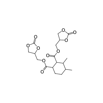 CC1CCC(C(=O)OCC2COC(=O)O2)C(C(=O)OCC2COC(=O)O2)C1C